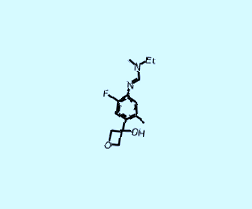 CCN(C)C=Nc1cc(C)c(C2(O)COC2)cc1F